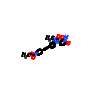 COC(=O)N1CCC(C#Cc2ccc3c(c2)n(C)c(=O)n3C2CCC(=O)NC2=O)CC1